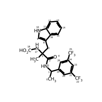 CC(NC(=O)C(C)(Cc1c[nH]c2ccccc12)NC(=O)O)c1cc(C(F)(F)F)cc(C(F)(F)F)c1